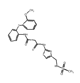 COc1ccccc1Oc1ccccc1NC(=O)CC(=O)Nc1nc(CNS(C)(=O)=O)cs1